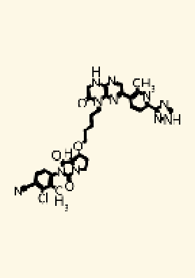 Cc1nc(-c2nc[nH]n2)ccc1-c1cnc2c(n1)N(CCCCCO[C@@H]1CCN3C(=O)N(c4ccc(C#N)c(Cl)c4C)C(=O)[C@H]13)C(=O)CN2